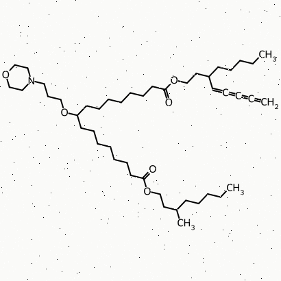 C=C=C=C=CC(CCCCC)CCOC(=O)CCCCCCCC(CCCCCCCC(=O)OCCC(C)CCCCC)OCCCN1CCOCC1